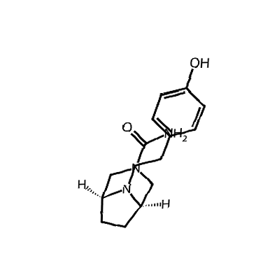 NC(=O)N1C[C@H]2CC[C@@H](C1)N2CCc1ccc(O)cc1